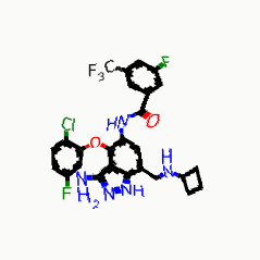 Nc1n[nH]c2c(CNC3CCC3)cc(NC(=O)c3cc(F)cc(C(F)(F)F)c3)c(Oc3cc(F)ccc3Cl)c12